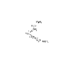 O.O.O.O.O.O=C(O)O.[MgH2].[MgH2]